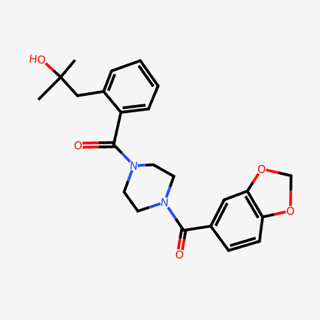 CC(C)(O)Cc1ccccc1C(=O)N1CCN(C(=O)c2ccc3c(c2)OCO3)CC1